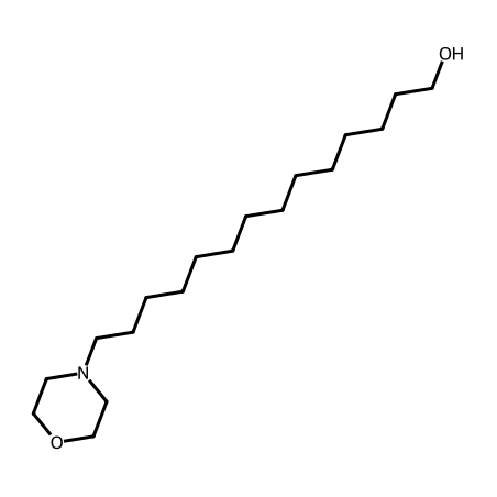 OCCCCCCCCCCCCCCN1CCOCC1